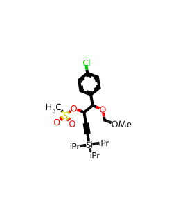 COCOC(c1ccc(Cl)cc1)C(C#C[Si](C(C)C)(C(C)C)C(C)C)OS(C)(=O)=O